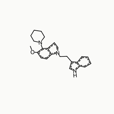 COc1ccc2c(ccn2CCc2c[nH]c3ccccc23)c1N1CCCCC1